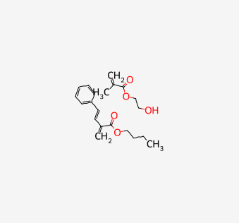 C=C(C)C(=O)OCCO.C=C(C=Cc1ccccc1)C(=O)OCCCC